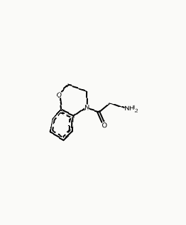 NCC(=O)N1CCOc2ccccc21